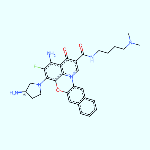 CN(C)CCCCNC(=O)c1cn2c3c(c(N4CC[C@@H](N)C4)c(F)c(N)c3c1=O)Oc1cc3ccccc3cc1-2